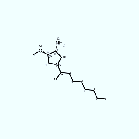 CCCCCCCC(C)N1C[C@@H](N)[C@H](OC)C1